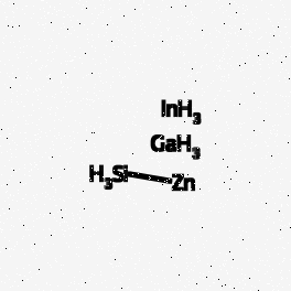 [GaH3].[InH3].[SiH3][Zn]